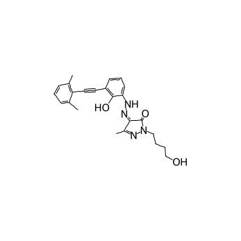 CC1=NN(CCCCO)C(=O)/C1=N\Nc1cccc(C#Cc2c(C)cccc2C)c1O